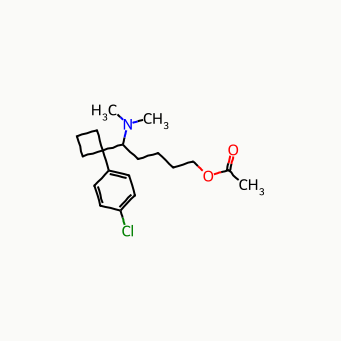 CC(=O)OCCCCC(N(C)C)C1(c2ccc(Cl)cc2)CCC1